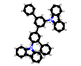 c1ccc(-c2cc(-c3ccc(-n4c5ccccc5c5ccccc54)c(-c4ccccc4)c3)cc(-n3c4ccccc4c4ccccc43)c2)cc1